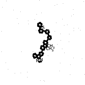 CC1(C)c2cc(-c3cccc(-c4cccc(-c5cccc6c5sc5ccccc56)c4)c3)ccc2-c2ccc(-c3ccc4c(c3)c3ccccc3c3nccnc43)cc21